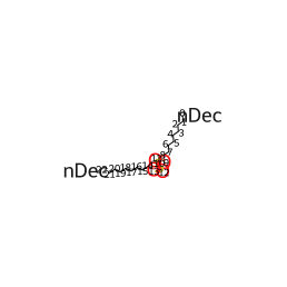 CCCCCCCCCCCCCCCCCCOS(=O)(=O)OCCCCCCCCCCCCCCCCCC